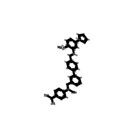 CCC(CC)c1ccc(N(Cc2cccc(-c3ccc(COc4cc(-n5cccc5)ccc4C(=O)O)cc3)c2)C(C)C)cc1